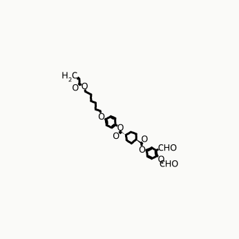 C=CC(=O)OCCCCCCOc1ccc(OC(=O)[C@H]2CC[C@H](C(=O)Oc3ccc(OC=O)c(C=O)c3)CC2)cc1